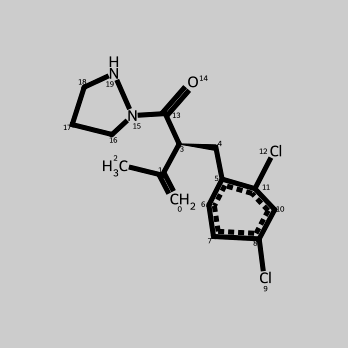 C=C(C)[C@H](Cc1ccc(Cl)cc1Cl)C(=O)N1CCCN1